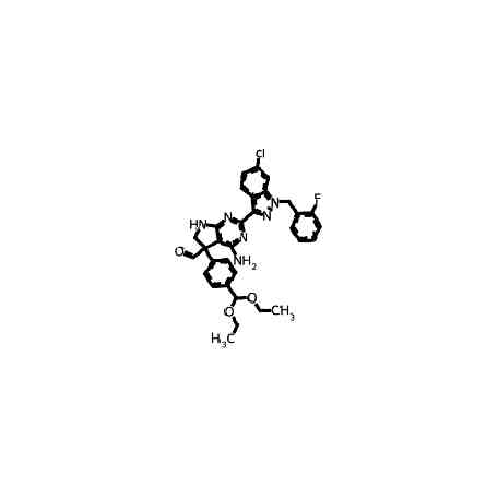 CCOC(OCC)c1ccc(C2(C=O)CNc3nc(-c4nn(Cc5ccccc5F)c5cc(Cl)ccc45)nc(N)c32)cc1